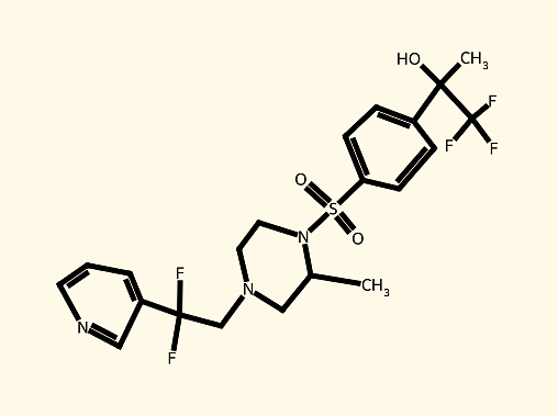 CC1CN(CC(F)(F)c2cccnc2)CCN1S(=O)(=O)c1ccc(C(C)(O)C(F)(F)F)cc1